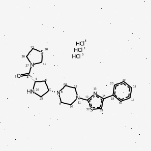 Cl.Cl.Cl.O=C([C@@H]1C[C@H](N2CCN(c3nc(-c4ccccc4)cs3)CC2)CN1)N1CCSC1